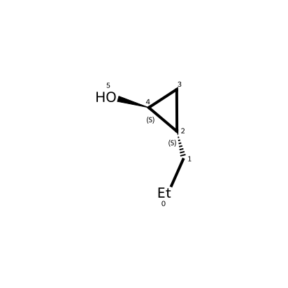 CCC[C@H]1C[C@@H]1O